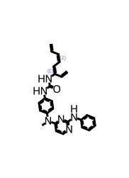 C=C/C=C\C=C(/C=C)NC(=O)Nc1ccc(N(C)c2ccnc(Nc3ccccc3)n2)cc1